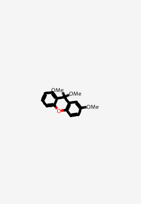 COc1ccc2c(c1)C(OC)(OC)c1ccccc1O2